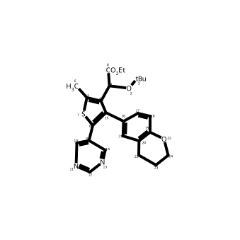 CCOC(=O)C(OC(C)(C)C)c1c(C)sc(-c2cncnc2)c1-c1ccc2c(c1)CCCO2